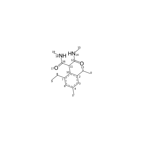 CCc1cc(C)cc(CC)c1C(C(=O)NC)C(=O)NC